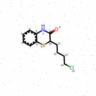 O=C1Nc2ccccc2SC1CCCCCl